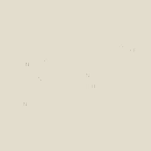 CN(c1ccc(Oc2ncc3ccncc3n2)cc1)c1ccc(OC(F)(F)F)cc1